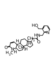 CN1C(=O)C=C[C@]2(C)[C@H]3CC[C@]4(C)[C@@H](CC(=O)NCc5ncccc5CO)CC[C@H]4[C@@H]3CC[C@@H]12